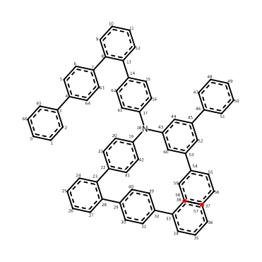 c1ccc(-c2ccc(-c3ccccc3-c3ccc(N(c4ccc(-c5ccccc5-c5ccc(-c6ccccc6)cc5)cc4)c4cc(-c5ccccc5)cc(-c5ccccc5)c4)cc3)cc2)cc1